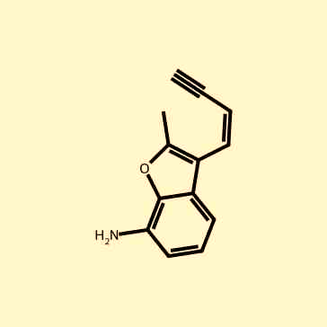 C#C/C=C\c1c(C)oc2c(N)cccc12